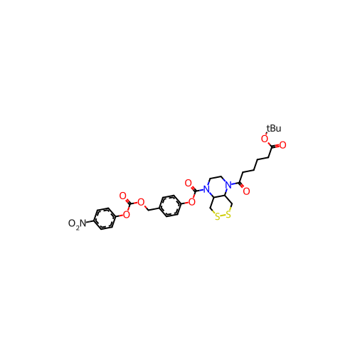 CC(C)(C)OC(=O)CCCCC(=O)N1CCN(C(=O)Oc2ccc(COC(=O)Oc3ccc([N+](=O)[O-])cc3)cc2)C2CSSCC21